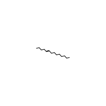 CCCCC=CCCCCCCCC